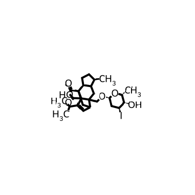 CC(C)C1=CC2CC3(C=O)C4CCC(C)C4CC2(CO[C@H]2C[C@H](I)[C@@H](O)[C@@H](C)O2)C13C(=O)O